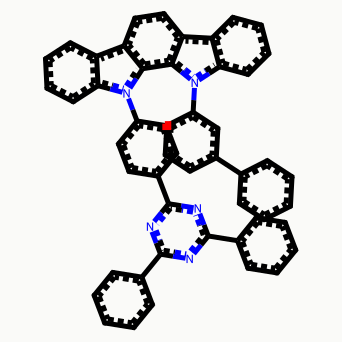 c1ccc(-c2cccc(-n3c4ccccc4c4ccc5c6ccccc6n(-c6ccc(-c7nc(-c8ccccc8)nc(-c8ccccc8)n7)cc6)c5c43)c2)cc1